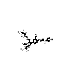 C[C@@H](O)[C@H]1C(=O)N2C(C(=O)OCOC(=O)C(C)(C)C)=C(c3ccc(NCC(=O)Nc4cc[nH]c4)c(C#N)c3)C[C@H]12